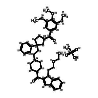 CCOCCn1c(C(=O)C2CCN(CCC3(c4ccccc4)CCN(C(=O)c4cc(OC)c(OC)c(OC)c4)C3)CC2)nc2ccccc21.CS(=O)(=O)O